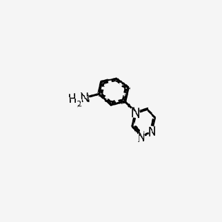 Nc1cccc(N2C=NN=CC2)c1